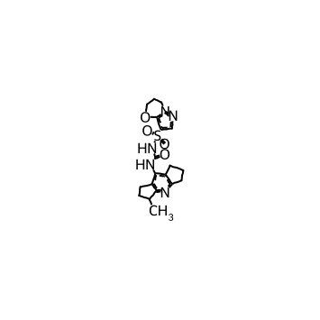 CC1CCc2c1nc1c(c2NC(=O)NS(=O)(=O)c2cnn3c2OCCC3)CCC1